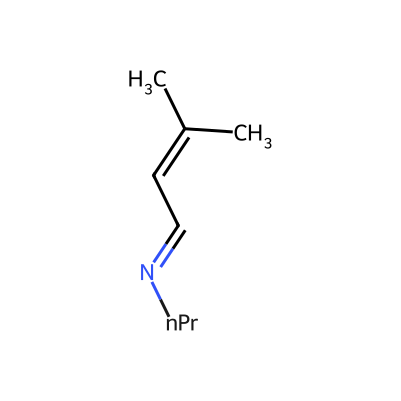 CCCN=CC=C(C)C